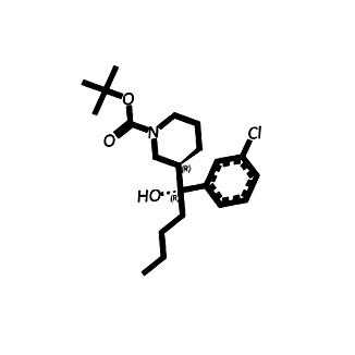 CCCC[C@](O)(c1cccc(Cl)c1)[C@@H]1CCCN(C(=O)OC(C)(C)C)C1